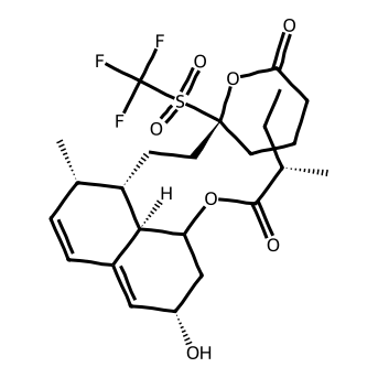 CC[C@H](C)C(=O)OC1C[C@H](O)C=C2C=C[C@H](C)[C@H](CC[C@]3(S(=O)(=O)C(F)(F)F)CCCC(=O)O3)[C@H]21